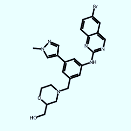 Cn1cc(-c2cc(CN3CCOC(CO)C3)cc(Nc3ncc4cc(Br)ccc4n3)c2)cn1